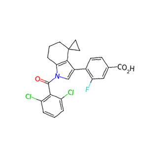 O=C(O)c1ccc(-c2cn(C(=O)c3c(Cl)cccc3Cl)c3c2C2(CCC3)CC2)c(F)c1